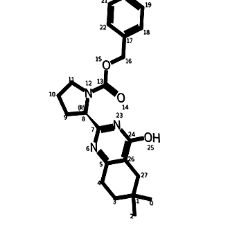 CC1(C)CCc2nc([C@H]3CCCN3C(=O)OCc3ccccc3)nc(O)c2C1